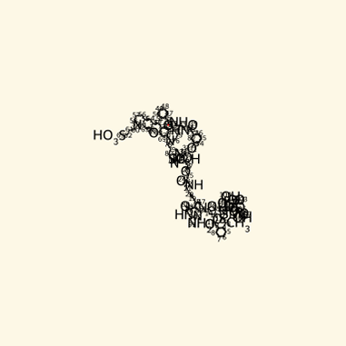 CSSC(C)c1ccccc1C(=O)OC1C[C@H](n2cc(C#CCNC(=O)COCCOC(COc3cccc(C(=O)NCCNC(=O)c4ccccc4C4=C5C=C6CCCN(CCCS(=O)(=O)O)C6C=C5Oc5cc6c(cc54)CCCN6CCCS(=O)(=O)O)c3)N=[N+]=[N-])c3c(=O)[nH]c(N)nc32)O[C@@H]1COP(=O)(O)OP(=O)(O)OP(=O)(O)O